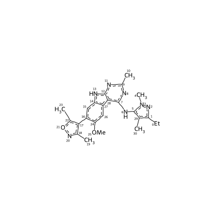 CCc1nn(C)c(Nc2nc(C)nc3[nH]c4cc(-c5c(C)noc5C)c(OC)cc4c23)c1C